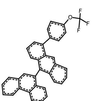 FC(F)(F)Oc1ccc(-c2cccc3c(-c4cc5ccccc5c5ccccc45)c4ccccc4cc23)cc1